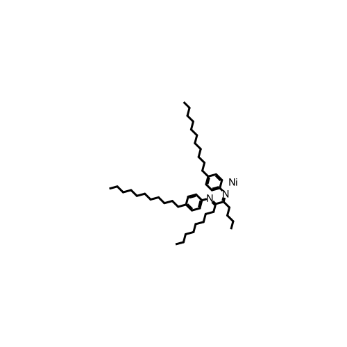 CCCCCCCCCCCc1ccc(N=C(CCCC)C(CCCCCCCC)=Nc2ccc(CCCCCCCCCCC)cc2)cc1.[Ni]